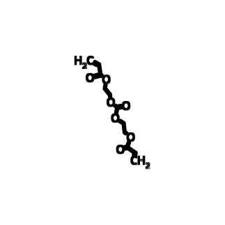 C=CC(=O)OCCOC(=O)OCCOC(=O)C=C